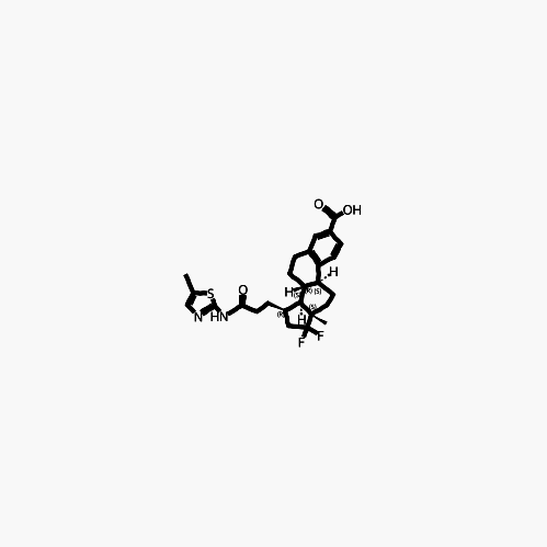 Cc1cnc(NC(=O)CC[C@@H]2CC(F)(F)[C@@]3(C)CC[C@@H]4c5ccc(C(=O)O)cc5CC[C@H]4[C@H]23)s1